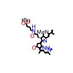 C=N/C(C)=C\c1[nH]c2c(c1C)C(=O)C/C2=C1N=C(/C=C(\NC)C(=C)C)C(C)[C@@H]/1CCC(=O)NCCCC(=O)OC(C)(C)C